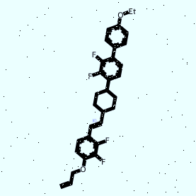 C=CCOc1ccc(/C=C/C2CCC(c3ccc(-c4ccc(OCC)cc4)c(F)c3F)CC2)c(F)c1F